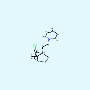 CC1(C)C2CCC1(CCN1CCCCC1)C(Cl)C2